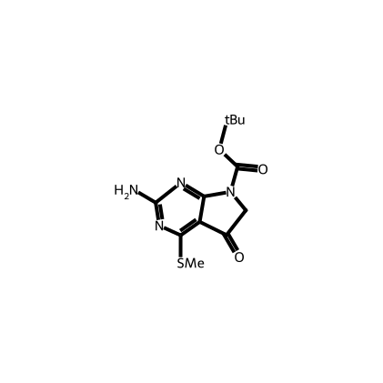 CSc1nc(N)nc2c1C(=O)CN2C(=O)OC(C)(C)C